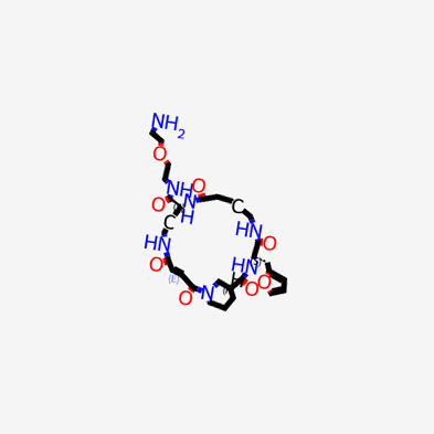 NCCOCCNC(=O)[C@@H]1CCNC(=O)/C=C/C(=O)N2CCC[C@H](C2)C(=O)N[C@@H](Cc2ccco2)C(=O)NCCCCC(=O)N1